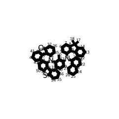 Cc1c(N(c2cccc3c2-c2ccccc2C3(C)C)c2cccc3ccccc23)cccc1N(c1cccc2oc3ccccc3c12)c1cccc2sc3ccccc3c12